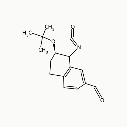 CC(C)(C)O[C@@H]1CCc2ccc(C=O)cc2C1N=C=O